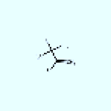 C=C(Br)C(F)(C(F)(F)F)C(F)(F)F